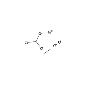 CC.[Al+2][O]C(Cl)Cl.[Cl-].[Cl-]